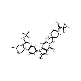 C[C@H]1CN(C(=O)OC(C)(C)C)[C@H](c2ccc(-n3c(Cl)cc4c(=O)n(CC5(O)CCN(C(=O)C6(C)CC6)CC5)cnc43)cc2)CO1